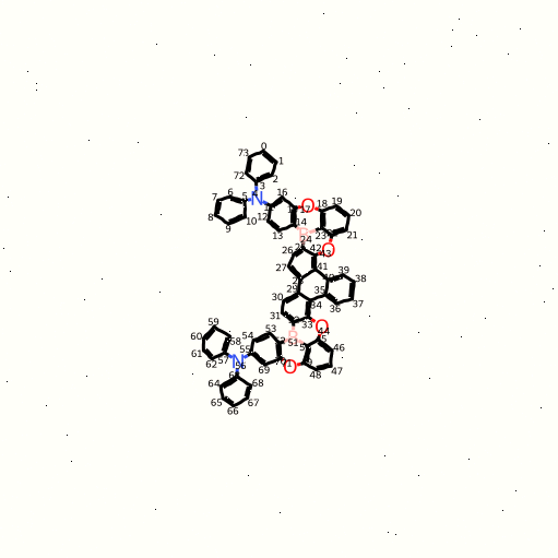 c1ccc(N(c2ccccc2)c2ccc3c(c2)Oc2cccc4c2B3c2ccc3c5ccc6c(c5c5ccccc5c3c2O4)Oc2cccc3c2B6c2ccc(N(c4ccccc4)c4ccccc4)cc2O3)cc1